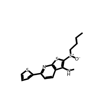 CCCC[S+]([O-])c1sc2nc(-c3cccs3)ccc2c1NC